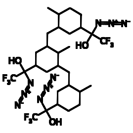 CC1CCC(C(O)(N=[N+]=[N-])C(F)(F)F)CC1CC1CC(C(O)(N=[N+]=[N-])C(F)(F)F)CC(CC2CC(C(O)(N=[N+]=[N-])C(F)(F)F)CCC2C)C1C